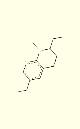 CCc1cnc2c(c1)CCC(CC)N2C